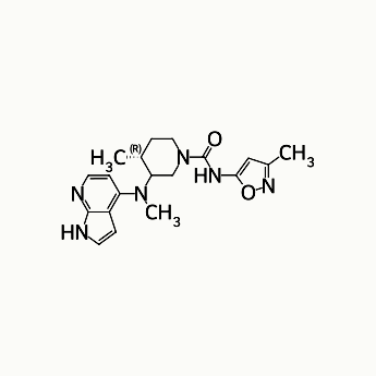 Cc1cc(NC(=O)N2CC[C@@H](C)C(N(C)c3ccnc4[nH]ccc34)C2)on1